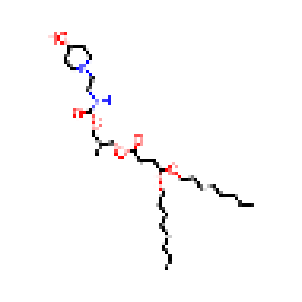 [CH2]C(COC(=O)CCC(OCCCCCCCC)OCCCCCCCC)COC(=O)NCCN1CCC(O)CC1